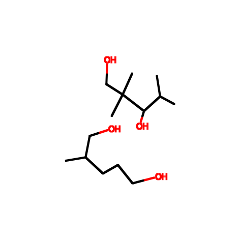 CC(C)C(O)C(C)(C)CO.CC(CO)CCCO